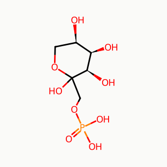 O=P(O)(O)OCC1(O)OC[C@@H](O)[C@@H](O)[C@H]1O